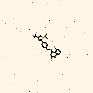 CC(C)n1cc(C(F)(F)F)nc1-c1ccc(COc2nc(Cl)nc3cccc(F)c23)cc1